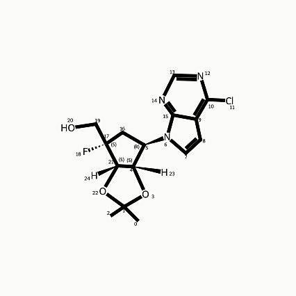 CC1(C)O[C@H]2[C@H](n3ccc4c(Cl)ncnc43)C[C@](F)(CO)[C@H]2O1